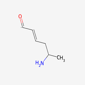 CC(N)CC=C[C]=O